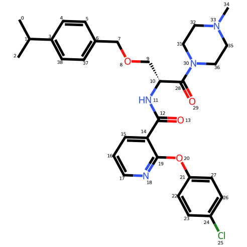 CC(C)c1ccc(COC[C@@H](NC(=O)c2cccnc2Oc2ccc(Cl)cc2)C(=O)N2CCN(C)CC2)cc1